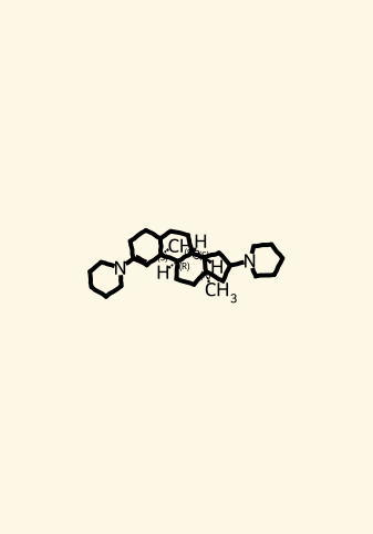 C[C@]12CC[C@@H]3[C@@H](CCC4CCC(N5CCCCC5)=C[C@@]43C)[C@@H]1CC(N1CCCCC1)C2